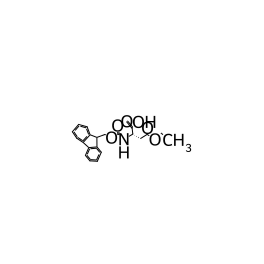 CCOC(=O)C[C@H](NC(=O)OCC1c2ccccc2-c2ccccc21)C(=O)O